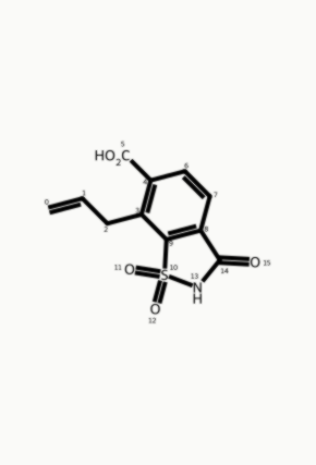 C=CCc1c(C(=O)O)ccc2c1S(=O)(=O)NC2=O